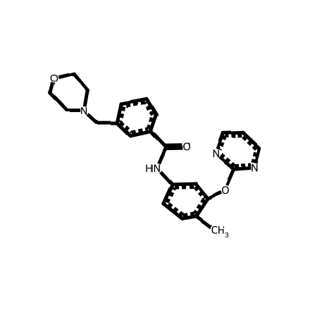 Cc1ccc(NC(=O)c2cccc(CN3CCOCC3)c2)cc1Oc1ncccn1